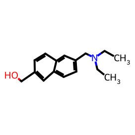 CCN(CC)Cc1ccc2cc(CO)ccc2c1